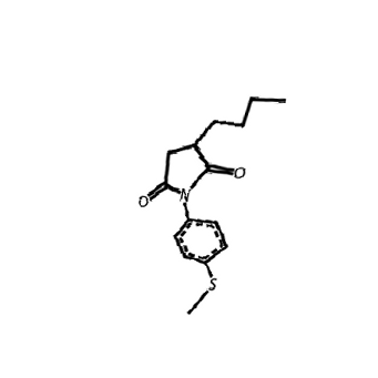 CCCCC1CC(=O)N(c2ccc(SC)cc2)C1=O